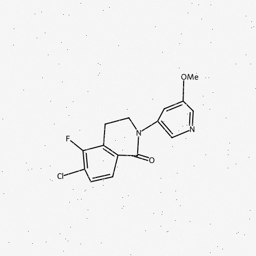 COc1cncc(N2CCc3c(ccc(Cl)c3F)C2=O)c1